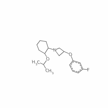 CC(C)OC1CCCCC1N1CC(Oc2cccc(F)c2)C1